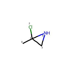 CC1(Cl)CN1